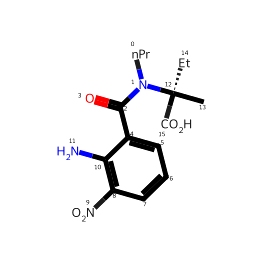 CCCN(C(=O)c1cccc([N+](=O)[O-])c1N)[C@](C)(CC)C(=O)O